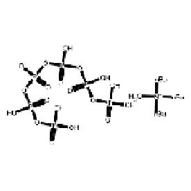 CCCC[N+](C)(CCCC)CCCC.O=P(O)(O)OP(=O)(O)OP(=O)([O-])OP(=O)(O)OP(=O)(O)OP(=O)(O)O